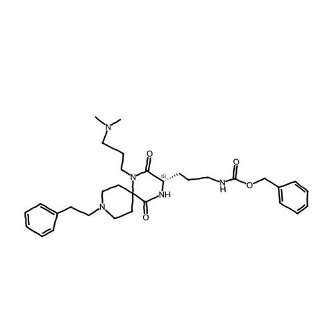 CN(C)CCCN1C(=O)[C@H](CCCNC(=O)OCc2ccccc2)NC(=O)C12CCN(CCc1ccccc1)CC2